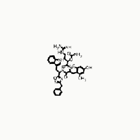 Cc1cc(O)cc(C)c1CC(NC(=O)C(CCNC(=N)N)OC(N)=O)C(=O)NC(Cc1c[nH]c2ccccc12)c1nc(Cc2ccccc2)no1